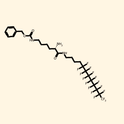 N[C@@H](CCCCNC(=O)OCc1ccccc1)C(=O)NCCCCC(F)(F)C(F)(F)C(F)(F)C(F)(F)C(F)(F)C(F)(F)C(F)(F)C(F)(F)F